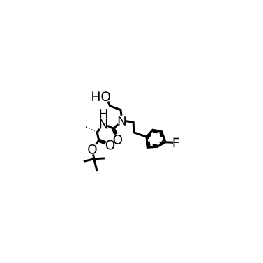 C[C@H](NC(=O)N(CCO)CCc1ccc(F)cc1)C(=O)OC(C)(C)C